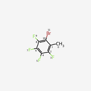 Cc1c(F)c(F)c(F)c(F)c1Br